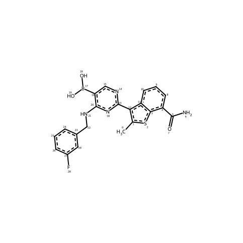 Cc1sc2c(C(N)=O)cccc2c1-c1ncc(B(O)O)c(NCc2cccc(F)c2)n1